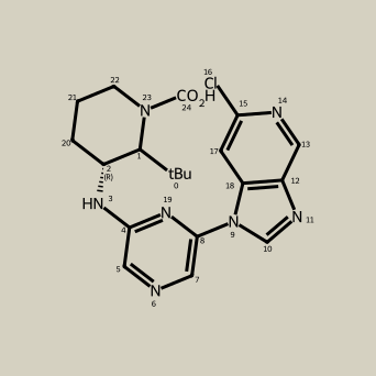 CC(C)(C)C1[C@H](Nc2cncc(-n3cnc4cnc(Cl)cc43)n2)CCCN1C(=O)O